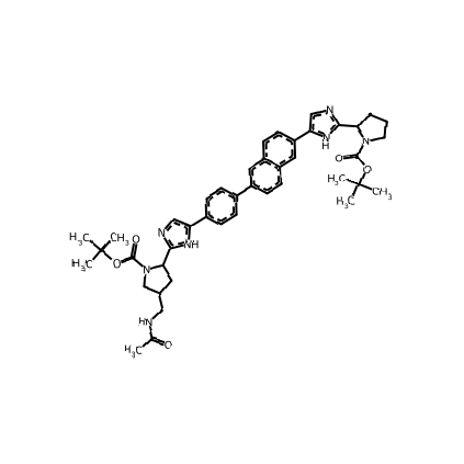 CC(=O)NCC1CC(c2ncc(-c3ccc(-c4ccc5cc(-c6cnc(C7CCCN7C(=O)OC(C)(C)C)[nH]6)ccc5c4)cc3)[nH]2)N(C(=O)OC(C)(C)C)C1